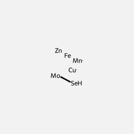 [Cu].[Fe].[Mn].[SeH][Mo].[Zn]